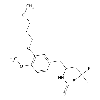 COCCCOc1cc(CC(CC(F)(F)F)NC=O)ccc1OC